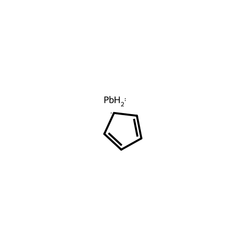 [CH]1C=CC=C1.[PbH2]